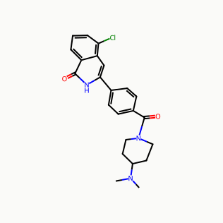 CN(C)C1CCN(C(=O)c2ccc(-c3cc4c(Cl)cccc4c(=O)[nH]3)cc2)CC1